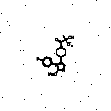 COc1ncc(C2CCN(C(=O)[C@@](C)(O)C(F)(F)F)CC2)n1-c1ccc(F)cc1